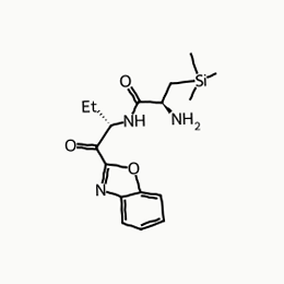 CC[C@H](NC(=O)[C@H](N)C[Si](C)(C)C)C(=O)c1nc2ccccc2o1